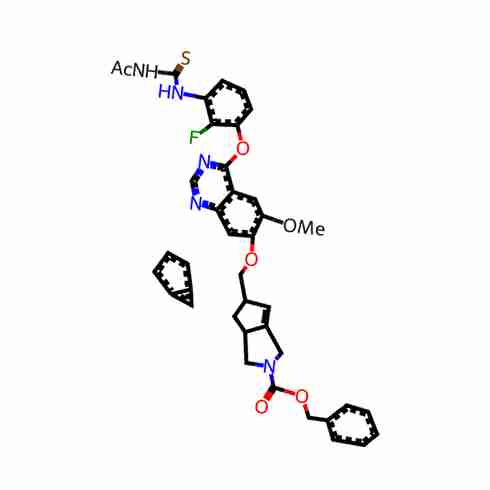 COc1cc2c(Oc3cccc(NC(=S)NC(C)=O)c3F)ncnc2cc1OCC1C=C2CN(C(=O)OCc3ccccc3)CC2C1.c1cc2cc-2c1